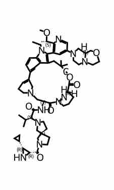 CCn1c(-c2cc(N3CCN4CCOC[C@@H]4C3)cnc2[C@H](C)OC)c2c3cc(ccc31)C1=CCCN(C1)C[C@H](NC(=O)[C@H](C(C)C)N1CC[C@]3(CCN(C(=O)[C@@H]4N[C@@H]4C4CC4)C3)C1)C(=O)N1CCC[C@H](N1)C(=O)OCC(C)(C)C2